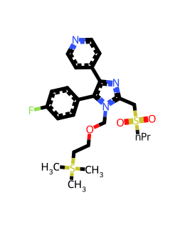 CCCS(=O)(=O)Cc1nc(-c2ccncc2)c(-c2ccc(F)cc2)n1COCCS(C)(C)C